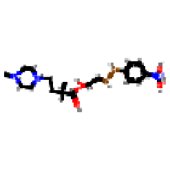 CN1CCN(CCC(C)(C)C(=O)OCCSSc2ccc([N+](=O)[O-])cc2)CC1